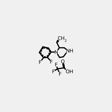 C=CC1CNCCN1c1cccc(F)c1F.O=C(O)C(F)(F)F